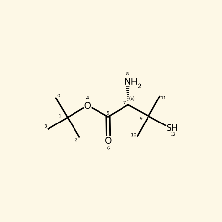 CC(C)(C)OC(=O)[C@H](N)C(C)(C)S